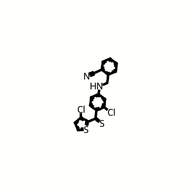 N#Cc1ccccc1CNc1ccc(C(=S)c2sccc2Cl)c(Cl)c1